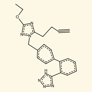 C#CCCc1nc(OCC)nn1Cc1ccc(-c2ccccc2-c2nnn[nH]2)cc1